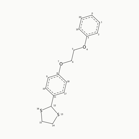 c1ccc(OCCOc2ccc(C3SCCS3)cc2)cc1